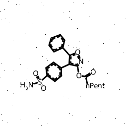 CCCCCC(=O)Oc1noc(-c2ccccc2)c1-c1ccc(S(N)(=O)=O)cc1